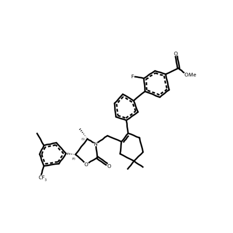 COC(=O)c1ccc(-c2cccc(C3=C(CN4C(=O)O[C@H](c5cc(C)cc(C(F)(F)F)c5)[C@@H]4C)CC(C)(C)CC3)c2)c(F)c1